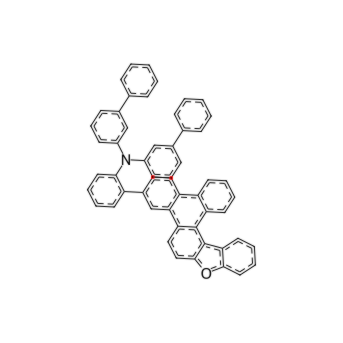 c1ccc(-c2cccc(N(c3cccc(-c4ccccc4)c3)c3ccccc3-c3ccc4c5ccccc5c5c(ccc6oc7ccccc7c65)c4c3)c2)cc1